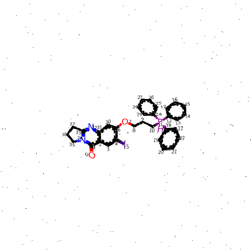 O=c1c2cc(I)c(OCCC[PH](c3ccccc3)(c3ccccc3)c3ccccc3)cc2nc2n1CCC2